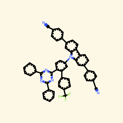 N#Cc1ccc(-c2ccc3c4ccc(-c5ccc(C#N)cc5)cc4n(-c4ccc(-c5nc(-c6ccccc6)nc(-c6ccccc6)n5)c(-c5ccc(C(F)(F)F)cc5)c4)c3c2)cc1